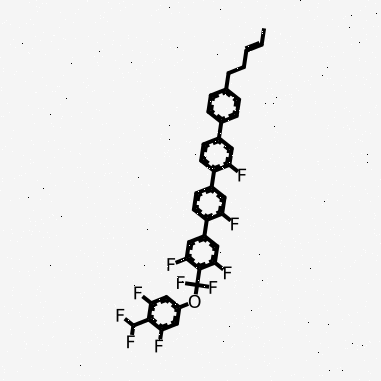 C/C=C/CCc1ccc(-c2ccc(-c3ccc(-c4cc(F)c(C(F)(F)Oc5cc(F)c(C(F)F)c(F)c5)c(F)c4)c(F)c3)c(F)c2)cc1